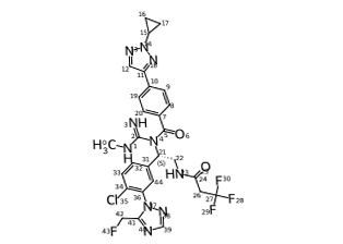 CNC(=N)N(C(=O)c1ccc(-c2cnn(C3CC3)n2)cc1)[C@H](CNC(=O)CC(F)(F)F)c1ccc(Cl)c(-n2ncnc2CF)c1